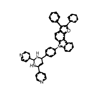 C1=C(c2ccncc2)NC(c2ccncc2)NC1c1ccc(-n2c3ccccc3c3c4oc(-c5ccccc5)c(-c5ccccc5)c4ccc32)cc1